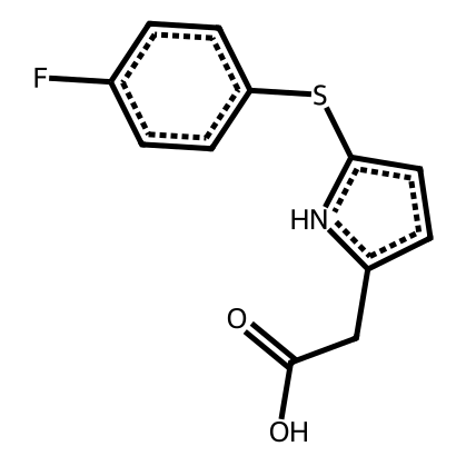 O=C(O)Cc1ccc(Sc2ccc(F)cc2)[nH]1